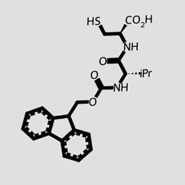 CC(C)[C@H](NC(=O)OCC1c2ccccc2-c2ccccc21)C(=O)N[C@@H](CS)C(=O)O